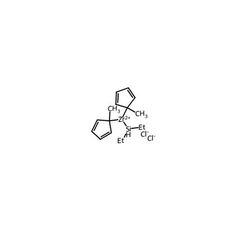 CC[SiH](CC)[Zr+2]([C]1(C)C=CC=C1)[C]1(C)C=CC=C1.[Cl-].[Cl-]